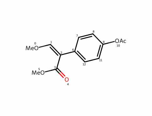 CO/C=C(\C(=O)OC)c1ccc(OC(C)=O)cc1